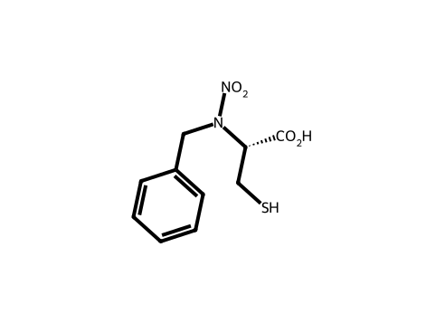 O=C(O)[C@H](CS)N(Cc1ccccc1)[N+](=O)[O-]